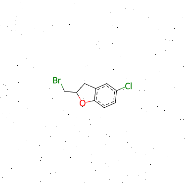 Clc1ccc2c(c1)CC(CBr)O2